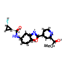 COC(=O)c1cc(-c2nc3cc(NC(=O)[C@@H]4C[C@@H]4F)ccc3o2)ccn1